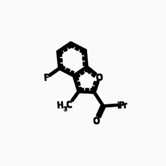 Cc1c(C(=O)C(C)C)oc2cccc(F)c12